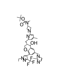 CCn1cc(-c2cc(Cn3ccnc3C)cc3c2OC[C@@H](Cc2cc(C)cc(N4CC(N(C)C(=O)OC(C)(C)C)C4)n2)[C@H]3O)c(C(F)(F)F)n1